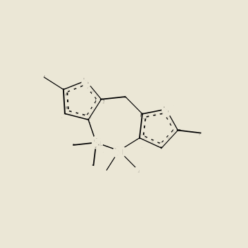 Cc1cc2c(s1)Cc1sc(C)cc1[Si](C)(C)[Si]2(C)C